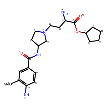 COc1cc(C(=O)NC2CCN(CCC(N)C(=O)OC3CCCC3)C2)ccc1N